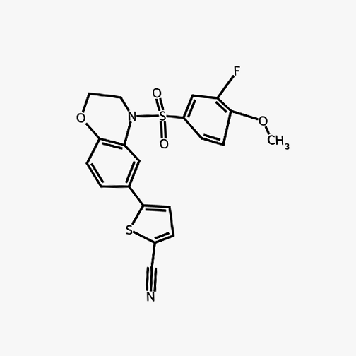 COc1ccc(S(=O)(=O)N2CCOc3ccc(-c4ccc(C#N)s4)cc32)cc1F